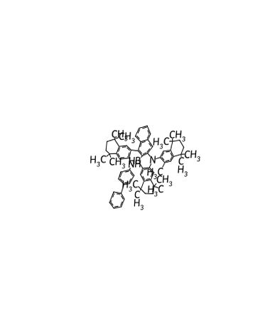 Cc1cc2c(cc1N1c3cc4c(cc3Bc3c1cc1ccccc1c3-c1cc3c(cc1Nc1ccc(-c5ccccc5)cc1)C(C)(C)CCC3(C)C)C(C)(C)CCC4(C)C)C(C)(C)CCC2(C)C